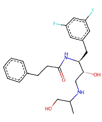 CC(CO)NC[C@@H](O)[C@H](Cc1cc(F)cc(F)c1)NC(=O)CCc1ccccc1